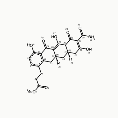 COC(=O)CCc1ccc(O)c2c1C[C@H]1C[C@H]3CC(O)=C(C(N)=O)C(=O)C3C(O)=C1C2=O